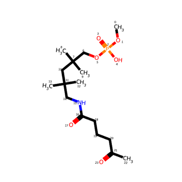 COP(=O)(O)OCC(C)(C)CC(C)(C)CNC(=O)CCCC(C)=O